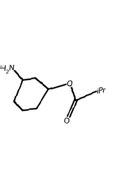 CC(C)C(=O)OC1CCCC(N)C1